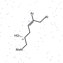 CNC[C@H](O)C/C=C(\CC(C)C)C(C)=O